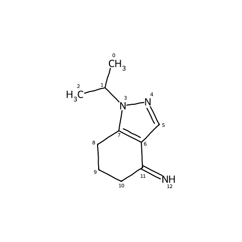 CC(C)n1ncc2c1CCCC2=N